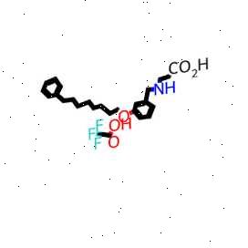 O=C(O)C(F)(F)F.O=C(O)CCNCc1cccc(OCCCCCCCCc2ccccc2)c1